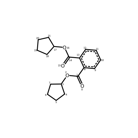 O=C(OC1CCCC1)c1ccccc1C(=O)OC1CCCC1